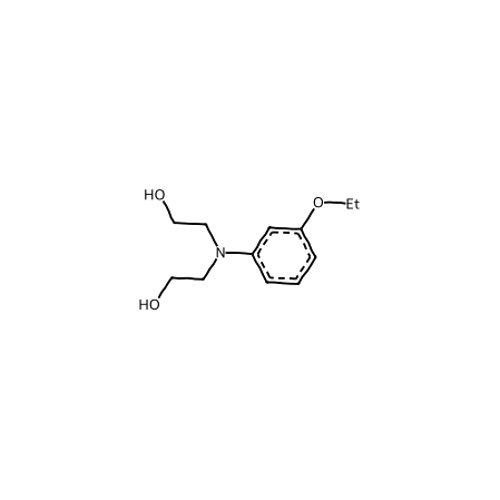 CCOc1cccc(N(CCO)CCO)c1